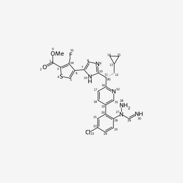 COC(=O)c1scc(-c2cnc([C@H](CC3CC3)c3ccc(-c4cc(Cl)ccc4N(N)C=N)cn3)[nH]2)c1F